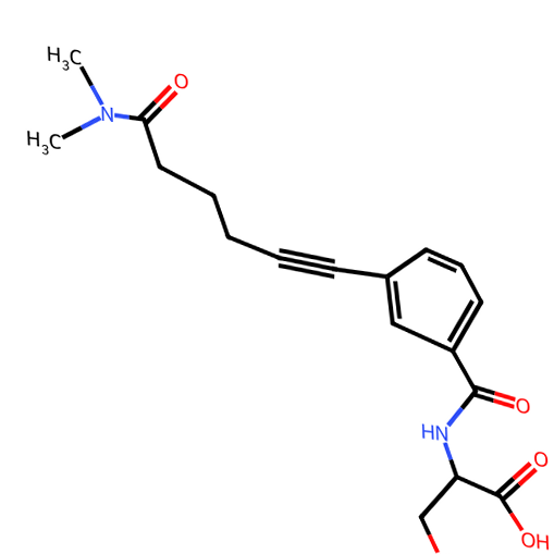 CN(C)C(=O)CCCC#Cc1cccc(C(=O)NC(CO)C(=O)O)c1